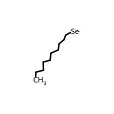 CCCCCCCCCC[Se]